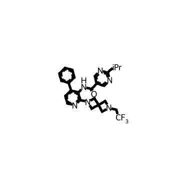 CC(C)c1ncc(C(=O)Nc2c(-c3ccccc3)ccnc2N2CC3(CN(CC(F)(F)F)C3)C2)cn1